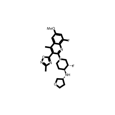 COc1cc(F)c2nc(N3CC[C@H](N[C@@H]4CCOC4)[C@@H](F)C3)c(-c3nc(C)no3)c(C)c2c1